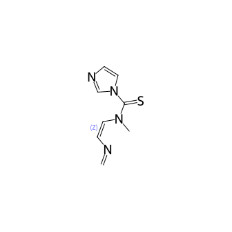 C=N/C=C\N(C)C(=S)n1ccnc1